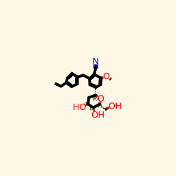 CCc1ccc(Cc2cc([C@H]3C[C@@H](O)[C@H](O)[C@@H](CO)O3)cc(OC)c2C#N)cc1